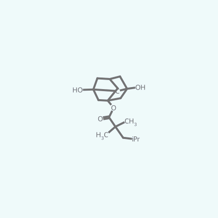 CC(C)CC(C)(C)C(=O)OC12CC3CC(O)(CC(O)(C3)C1)C2